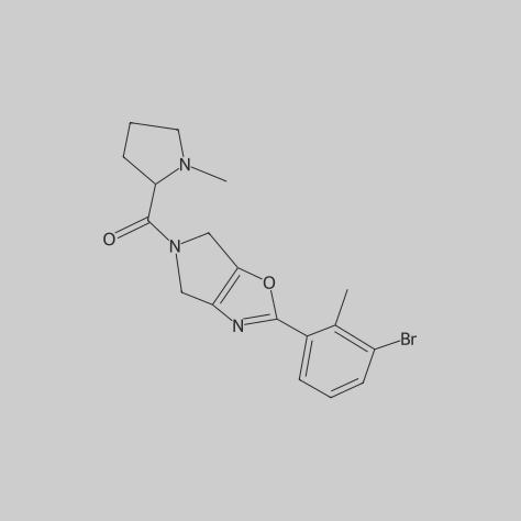 Cc1c(Br)cccc1-c1nc2c(o1)CN(C(=O)C1CCCN1C)C2